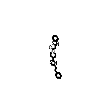 O=C(Cc1nc2ccccc2s1)N1CCC(c2nc(CCc3ccccc3)cs2)CC1